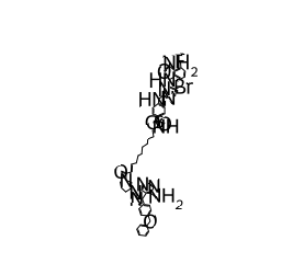 NC(=O)c1c(F)cccc1Nc1nc(Nc2ccc(S(=O)(=O)NCCCCCCCC/C=C/C(=O)N3CCC[C@@H](n4nc(-c5ccc(Oc6ccccc6)cc5)c5c(N)ncnc54)C3)cc2)ncc1Br